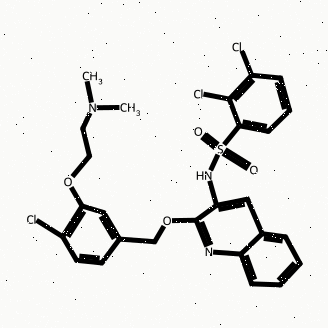 CN(C)CCOc1cc(COc2nc3ccccc3cc2NS(=O)(=O)c2cccc(Cl)c2Cl)ccc1Cl